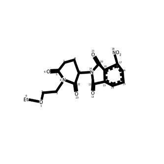 CCOCCN1C(=O)CCC(N2C(=O)c3cccc([N+](=O)[O-])c3C2=O)C1=O